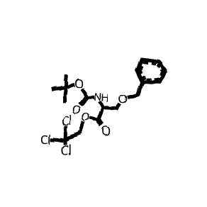 CC(C)(C)OC(=O)NC(COCc1ccccc1)C(=O)OCC(Cl)(Cl)Cl